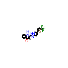 Cc1c(-c2nc3ccc(-c4ccc(C(F)(F)F)s4)cn3n2)[nH]c2ccccc2c1=O